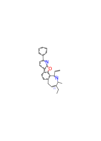 C=C/C1=N/C(C)/C(CC)=C\Cc2ccc3c(oc4nc(-c5ccccc5)ccc43)c21